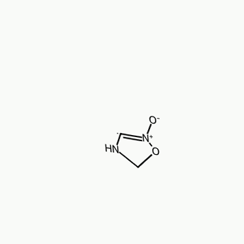 [O-][N+]1=[C]NCO1